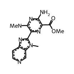 CNc1nc(N)c(C(=O)OC)nc1-c1nc2ccncc2n1C